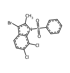 Cc1c(Br)c2ccc(Cl)c(Cl)c2n1S(=O)(=O)c1ccccc1